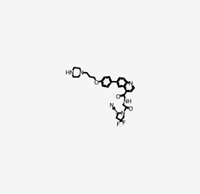 N#C[C@@H]1CC(F)(F)CN1C(=O)CNC(=O)c1ccnc2ccc(-c3ccc(OCCCN4CCNCC4)cc3)cc12